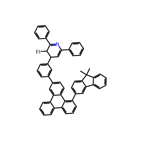 CCC1C(c2ccccc2)=NC(c2ccccc2)=CC1c1cccc(-c2ccc3c(c2)c2ccccc2c2cccc(-c4ccc5c(c4)-c4ccccc4C5(C)C)c23)c1